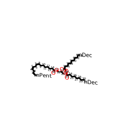 CCCCC/C=C\C/C=C\C/C=C\CCCCCCC(=O)OC[C@@H](COC(=O)CCCCCCCCCCCCCCCCC)OC(=O)CCCCCCCCCCCCCCCCCCC